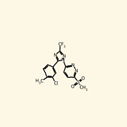 Cc1ccc(-c2nc(C(F)(F)F)nn2-c2ccc(S(C)(=O)=O)nn2)cc1Cl